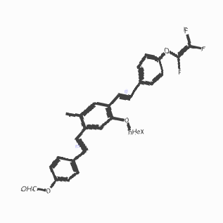 CCCCCCOc1cc(/C=C/c2ccc(OC=O)cc2)c(C)cc1/C=C/c1ccc(OC(F)=C(F)F)cc1